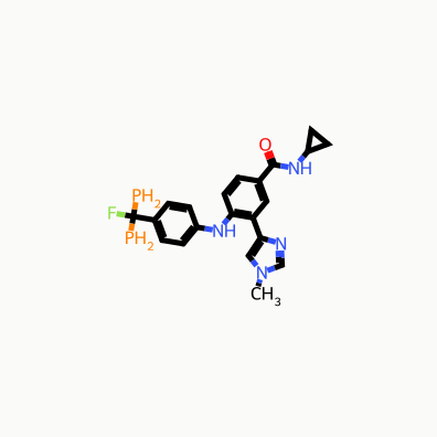 Cn1cnc(-c2cc(C(=O)NC3CC3)ccc2Nc2ccc(C(F)(P)P)cc2)c1